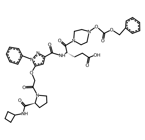 O=C(O)CC[C@H](NC(=O)c1cc(OCC(=O)N2CCC[C@H]2C(=O)NC2CCC2)n(-c2ccccc2)n1)C(=O)N1CCN(OC(=O)OCc2ccccc2)CC1